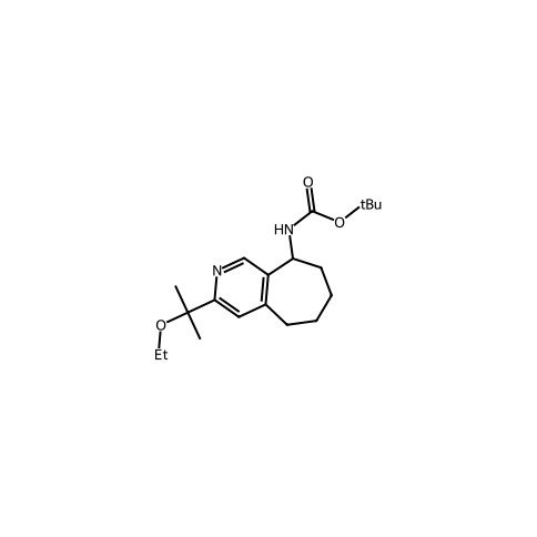 CCOC(C)(C)c1cc2c(cn1)C(NC(=O)OC(C)(C)C)CCCC2